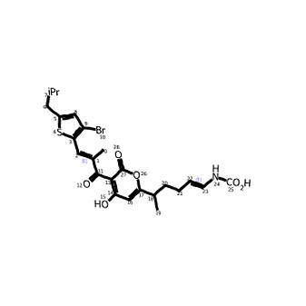 C/C(=C\c1sc(CC(C)C)cc1Br)C(=O)c1c(O)cc(C(C)CC/C=C/NC(=O)O)oc1=O